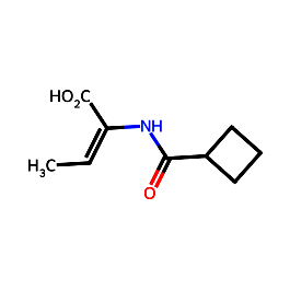 CC=C(NC(=O)C1CCC1)C(=O)O